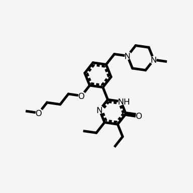 CCc1nc(-c2cc(CN3CCN(C)CC3)ccc2OCCCOC)[nH]c(=O)c1CC